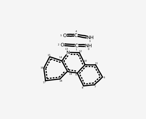 N=C=O.N=C=O.c1ccc2c(c1)cnc1ccccc12